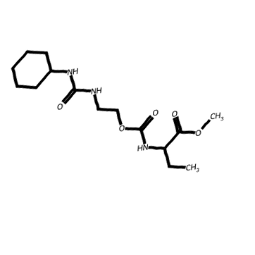 CCC(NC(=O)OCCNC(=O)NC1CCCCC1)C(=O)OC